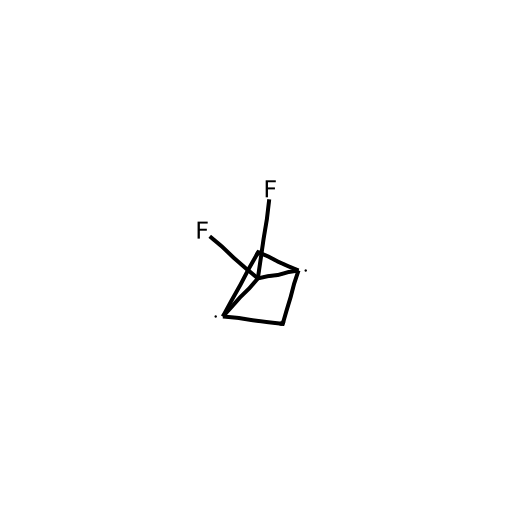 FC1(F)[C]2C[C]1C2